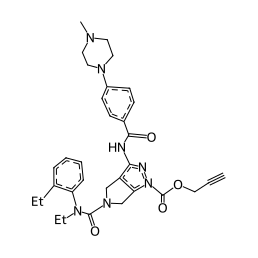 C#CCOC(=O)n1nc(NC(=O)c2ccc(N3CCN(C)CC3)cc2)c2c1CN(C(=O)N(CC)c1ccccc1CC)C2